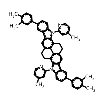 Cc1ccnc(-n2c3ccc(-c4ccc(C)c(C)c4)cc3c3cc4c5c(c32)CCc2cc3c6cc(-c7ccc(C)c(C)c7)ccc6n(-c6cc(C)ccn6)c3c(c2-5)CC4)c1